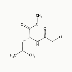 COC(=O)[C@@H](CC(C)C)NC(=O)CCl